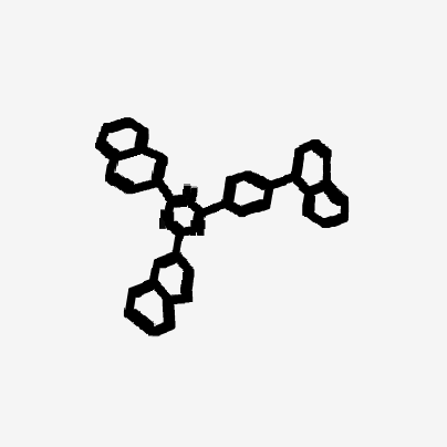 c1ccc2cc(-c3nc(-c4ccc(-c5cccc6ccccc56)cc4)nc(-c4ccc5ccccc5c4)n3)ccc2c1